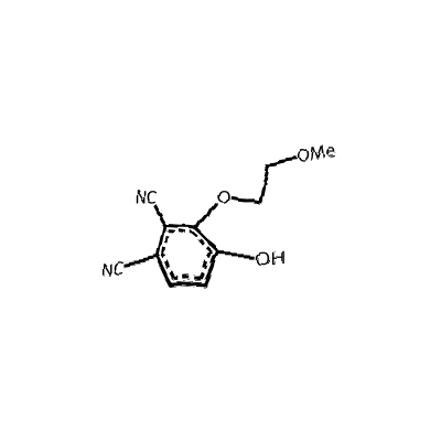 COCCOc1c(O)ccc(C#N)c1C#N